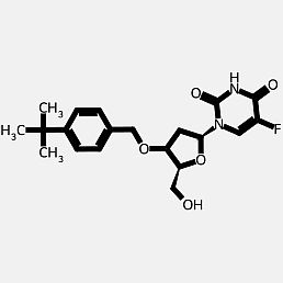 CC(C)(C)c1ccc(COC2C[C@@H](n3cc(F)c(=O)[nH]c3=O)O[C@H]2CO)cc1